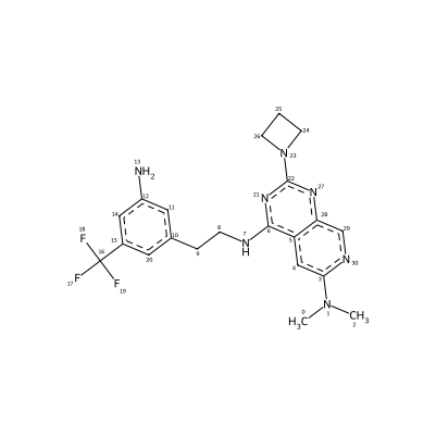 CN(C)c1cc2c(NCCc3cc(N)cc(C(F)(F)F)c3)nc(N3CCC3)nc2cn1